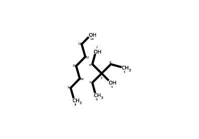 CCC(O)(CC)CO.CCCCCCO